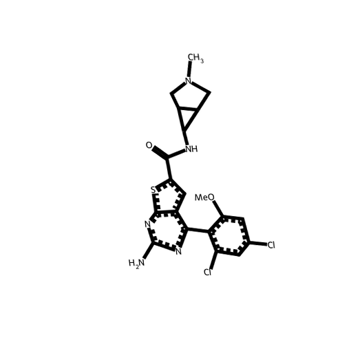 COc1cc(Cl)cc(Cl)c1-c1nc(N)nc2sc(C(=O)NC3C4CN(C)CC43)cc12